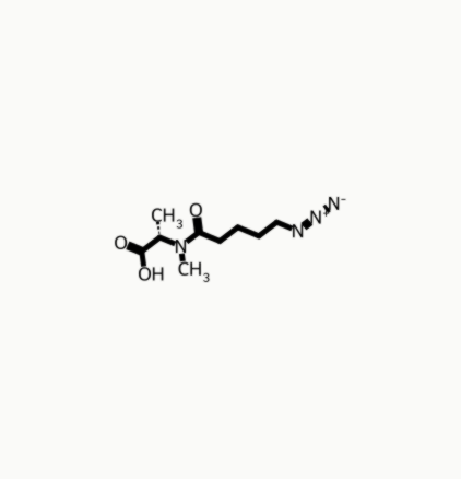 C[C@@H](C(=O)O)N(C)C(=O)CCCCN=[N+]=[N-]